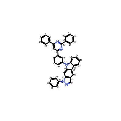 c1ccc(-c2cc(-c3cccc(-n4c5ccccc5c5cc6cnn(-c7ccccc7)c6cc54)c3)nc(-c3ccccc3)n2)cc1